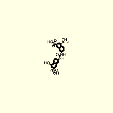 COc1cc(S(=O)(=O)O)cc2cc(NC(=O)Nc3ccc4c(O)cc(S(=O)(=O)O)cc4c3)ccc12